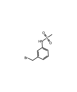 CS(=O)(=O)Nc1cccc(CBr)c1